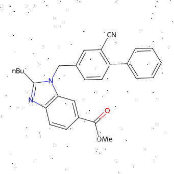 CCCCc1nc2ccc(C(=O)OC)cc2n1Cc1ccc(-c2ccccc2)c(C#N)c1